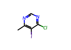 Cc1ncnc(Cl)c1I